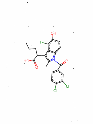 CCCC(C(=O)O)c1c(C)n(C(=O)c2ccc(Cl)c(Cl)c2)c2ccc(O)c(F)c12